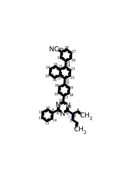 C=C/C=C(\C=C)c1nc(-c2ccccc2)nc(-c2ccc(-c3ccc(-c4cccc(C#N)c4)c4ccccc34)cc2)n1